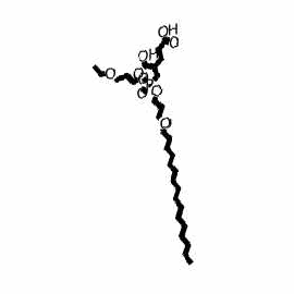 CCCCCCCCCCCCCCCCOCCCOP(=O)(CC(CCC(=O)O)C(=O)O)OCCCOCC